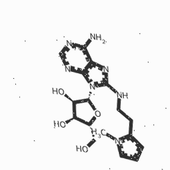 Cn1cccc1CCNc1nc2c(N)ncnc2n1[C@@H]1O[C@H](CO)[C@@H](O)[C@H]1O